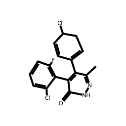 Cc1n[nH]c(=O)c(-c2c(F)cccc2Cl)c1C1=CCC(Cl)C=C1